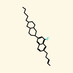 CC=CCCc1ccc2cc(C3CCC4CC(CCCCC)CCC4C3)cc(F)c2c1